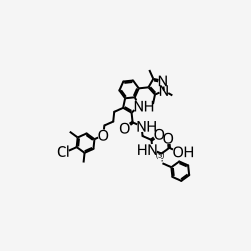 Cc1cc(OCCCc2c(C(=O)NCC(=O)N[C@@H](Cc3ccccc3)C(=O)O)[nH]c3c(-c4c(C)nn(C)c4C)cccc23)cc(C)c1Cl